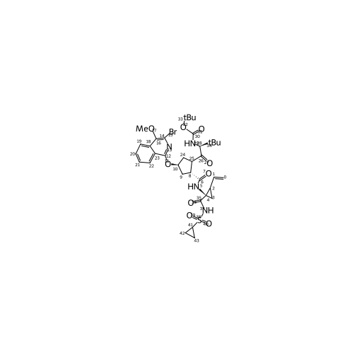 C=CC1C[C@]1(NC(=O)[C@@H]1C[C@@H](Oc2nc(Br)c(OC)c3ccccc23)CC1C(=O)[C@@H](NC(=O)OC(C)(C)C)C(C)(C)C)C(=O)NS(=O)(=O)C1CC1